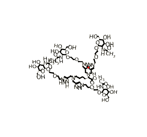 CC(=O)N[C@H]1[C@H](OCCOCCN2C=C(CN(CCCC[C@@H](C(=O)O)N(Cc3cn(CCOCCO[C@@H]4O[C@H](CO)[C@H](O)[C@H](O)[C@H]4NC(C)=O)nn3)Cc3cn(CCOCCO[C@@H]4O[C@H](CO)[C@H](O)[C@H](O)[C@H]4NC(C)=O)nn3)Cc3cn(CCOCCO[C@@H]4O[C@H](CO)[C@H](O)[C@H](O)[C@H]4NC(C)=O)nn3)NN2)O[C@H](CO)[C@H](O)[C@@H]1O